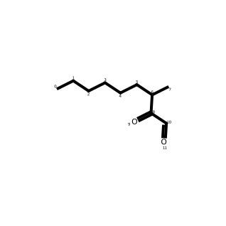 CCCCCCC(C)C(=O)C=O